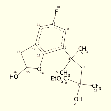 CCOC(=O)C(O)(CC(C)(C)c1cc(F)cc2c1OC(O)C2)C(F)(F)F